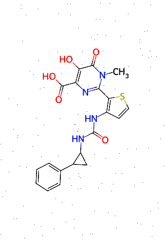 Cn1c(-c2sccc2NC(=O)NC2CC2c2ccccc2)nc(C(=O)O)c(O)c1=O